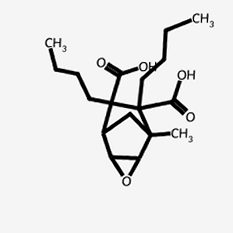 CCCCC1(C(=O)O)C2CC(C)(C3OC32)C1(CCCC)C(=O)O